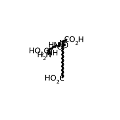 NN[C@@H](CCCCNC(=O)CN(CCC(=O)O)C(=O)CCCCCCCCCCCCCCCCC(=O)O)C(=O)O